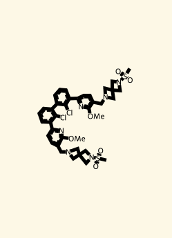 COc1nc(-c2cccc(-c3cccc(-c4ccc(CN5CC6(C5)CN(S(C)(=O)=O)C6)c(OC)n4)c3Cl)c2Cl)ccc1CN1CC2(C1)CN(S(C)(=O)=O)C2